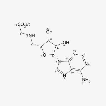 CCOC(=O)CNC[C@H]1O[C@@H](n2cnc3c(N)ncnc32)C(O)C1O